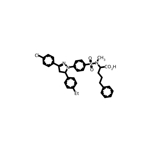 CCc1ccc(C2CC(c3ccc(Cl)cc3)=NN2c2ccc(S(=O)(=O)N(C)C(CCCc3ccccc3)C(=O)O)cc2)cc1